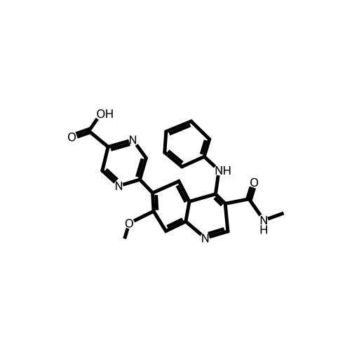 CNC(=O)c1cnc2cc(OC)c(-c3cnc(C(=O)O)cn3)cc2c1Nc1ccccc1